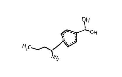 CCCC(N)c1ccc(C(O)O)cc1